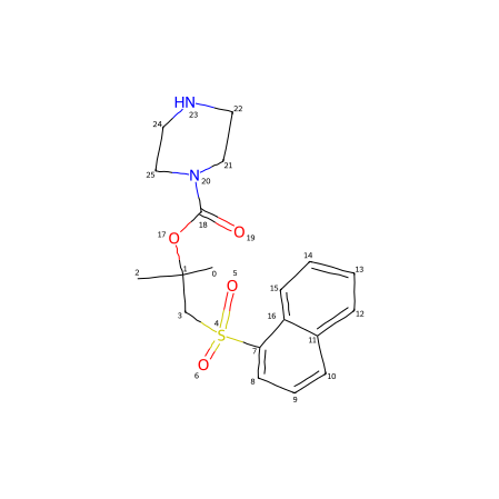 CC(C)(CS(=O)(=O)c1cccc2ccccc12)OC(=O)N1CCNCC1